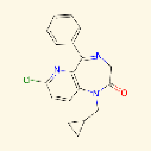 O=C1CN=C(c2ccccc2)c2nc(Cl)ccc2N1CC1CC1